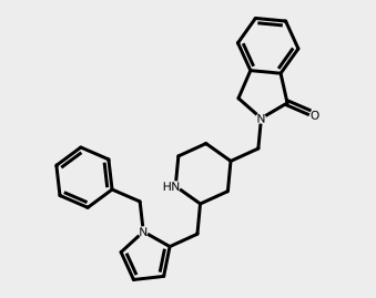 O=C1c2ccccc2CN1CC1CCNC(Cc2cccn2Cc2ccccc2)C1